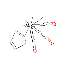 [CH3][Mn]([CH3])([CH3])([CH3])(=[C]=O)(=[C]=O)(=[C]=O)[C]1=CC=CC1